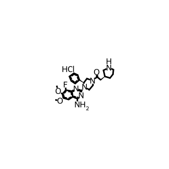 COc1cc2c(N)nc(N3CCN(C(=O)C[C@@H]4CCCNC4)C[C@@H]3c3ccccc3)nc2c(F)c1OC.Cl